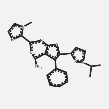 CC(C)n1ccc(-c2sc3nc(-c4nccn4C)nc(N)c3c2-c2ccccc2)n1